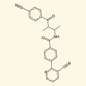 CC(NC(=O)c1ccc(-c2ncccc2C#N)cc1)C(C)C(=O)c1ccc(C#N)cc1